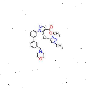 COC(=O)c1cnn(-c2cccc(-c3cccc(CN4CCOCC4)c3)c2)c1C1CC1c1cn(C)nn1